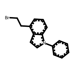 BrCCc1cccc2c1ccn2-c1ccccc1